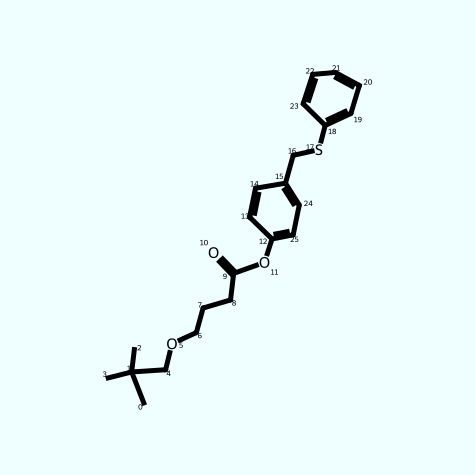 CC(C)(C)COCCCC(=O)Oc1ccc(CSc2ccccc2)cc1